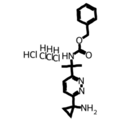 CC(C)(NC(=O)OCc1ccccc1)c1ccc(C2(N)CC2)nn1.Cl.Cl.Cl.Cl